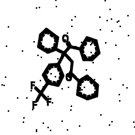 O=C(CC(C(=O)c1ccccc1)(c1ccccc1)c1ccc(C(F)(F)F)cc1)c1ccccc1